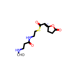 O=CNCCC(=O)NCCSC(=O)/C=C1\CCC(=O)O1